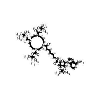 CC(C)(C)OC(=O)N1CCCN(C(=O)OC(C)(C)C)CCN(C(=O)OC(C)(C)C)CCCN(C(=O)CCCCCNC(=O)[C@H]2O[C@@H](n3cnc4c(N)ncnc43)[C@@H]3OC(C)(C)O[C@@H]32)CC1